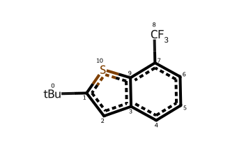 CC(C)(C)c1cc2cccc(C(F)(F)F)c2s1